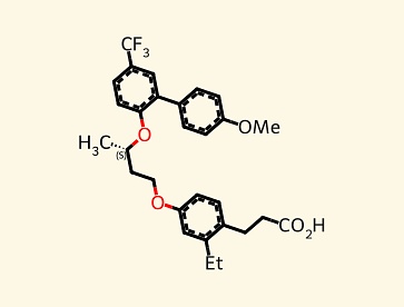 CCc1cc(OCC[C@H](C)Oc2ccc(C(F)(F)F)cc2-c2ccc(OC)cc2)ccc1CCC(=O)O